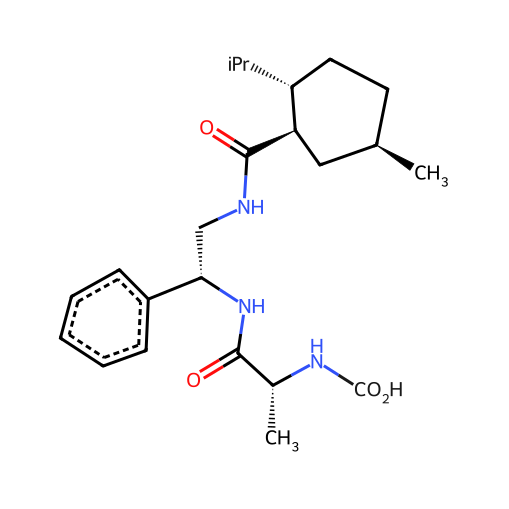 CC(C)[C@@H]1CC[C@@H](C)C[C@H]1C(=O)NC[C@H](NC(=O)[C@@H](C)NC(=O)O)c1ccccc1